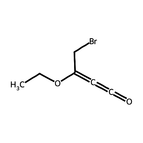 CCOC(=C=C=O)CBr